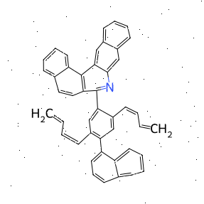 C=C/C=C\c1cc(-c2nc3cc4ccccc4cc3c3c2ccc2ccccc23)c(/C=C\C=C)cc1-c1cccc2ccccc12